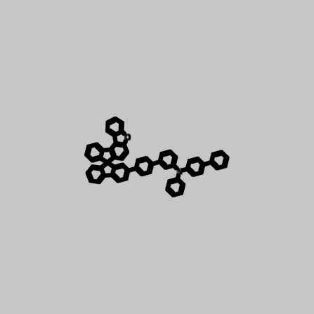 c1ccc(-c2ccc(N(c3ccccc3)c3cccc(-c4ccc(-c5ccc6c(c5)C5(c7ccccc7-6)c6ccccc6-c6c5ccc5oc7ccccc7c65)cc4)c3)cc2)cc1